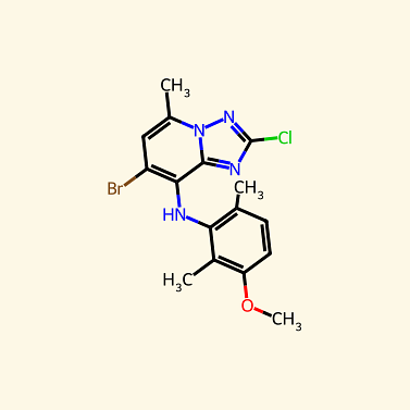 COc1ccc(C)c(Nc2c(Br)cc(C)n3nc(Cl)nc23)c1C